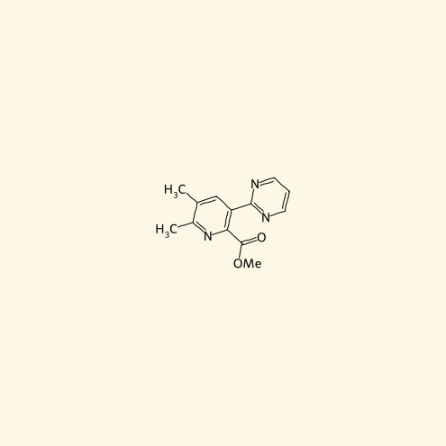 COC(=O)c1nc(C)c(C)cc1-c1ncccn1